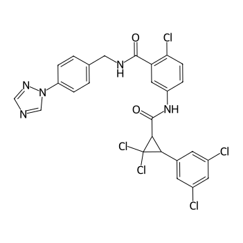 O=C(NCc1ccc(-n2cncn2)cc1)c1cc(NC(=O)C2C(c3cc(Cl)cc(Cl)c3)C2(Cl)Cl)ccc1Cl